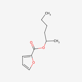 CCCCC(C)OC(=O)c1ccco1